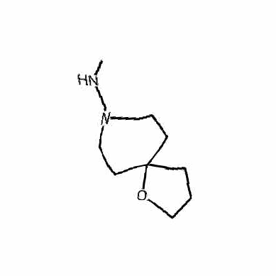 CNN1CCC2(CCCO2)CC1